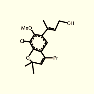 COc1c(/C(C)=C/CO)cc2c(c1Cl)OC(C)(C)C=C2C(C)C